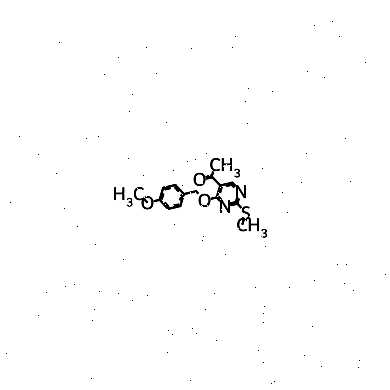 COc1ccc(COc2nc(SC)ncc2C(C)=O)cc1